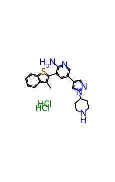 Cc1c(-c2cc(-c3cnn(C4CCNCC4)c3)cnc2N)sc2ccccc12.Cl.Cl